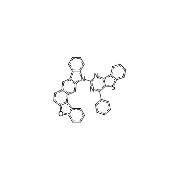 c1ccc(-c2nc(-n3c4ccccc4c4cc5ccc6oc7ccccc7c6c5cc43)nc3c2sc2ccccc23)cc1